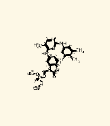 Cc1cnc(Nc2cc(C)c(C)c(C)c2)nc1Nc1ccc2oc(=O)n(COP(=O)(OC(C)(C)C)OC(C)(C)C)c2c1